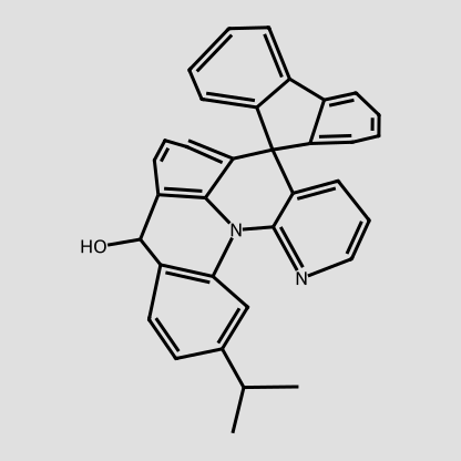 CC(C)c1ccc2c(c1)N1c3ncccc3C3(c4ccccc4-c4ccccc43)c3cccc(c31)C2O